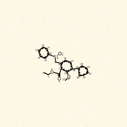 CCOC(=O)c1c(C[S+]([O-])c2ccccc2)ccc(-c2ccccc2)c1OC